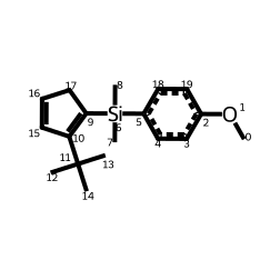 COc1ccc([Si](C)(C)C2=C(C(C)(C)C)C=CC2)cc1